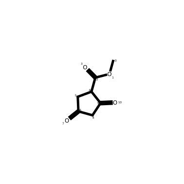 COC(=O)C1CC(=O)CC1=O